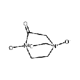 O=C1C[N+]2([O-])CC[N+]1([O-])CC2